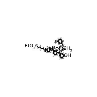 CCOC(=O)CCCCCN1CCN(C(=O)c2cccc([C@H](c3cccc(O)c3)N3C[C@@H](C)N(Cc4cccc(F)c4)C[C@@H]3C)c2)CC1